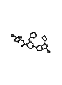 CCc1nnc(CC(=O)N2CCN(c3ccc4c(CC)nn(C5CCC5)c4c3)C[C@@H]2Cc2ccccc2)[nH]1